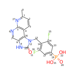 Cc1ccc2c(ncc3[nH]c(=O)n(Cc4c(F)cc(P(=O)(O)O)cc4F)c32)n1